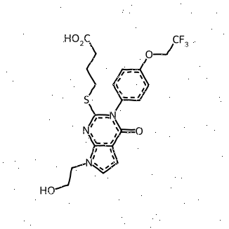 O=C(O)CCCSc1nc2c(ccn2CCO)c(=O)n1-c1ccc(OCC(F)(F)F)cc1